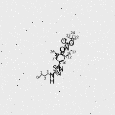 CCCCNc1nnc(-c2cc(C)c(ON(CC)C(=O)OC(C)(C)C)c(C)c2)s1